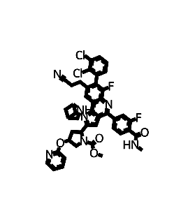 CNC(=O)c1ccc(-c2nc3c(F)c(-c4cccc(Cl)c4Cl)c(CCC#N)cc3c3c2cc(C2CC(Oc4ccccn4)CN2C(=O)OC)n3C2C3CNC2C3)cc1F